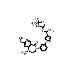 CSc1ncc2c(n1)N(C)CCN(c1cccc(-n3cc(C(C)OC(=O)NC(C)(C)C)cn3)c1)C2=O